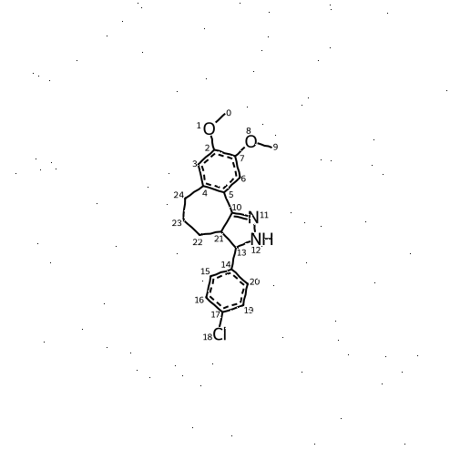 COc1cc2c(cc1OC)C1=NNC(c3ccc(Cl)cc3)C1CCC2